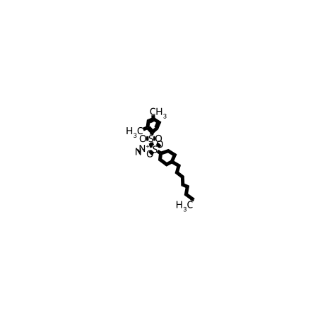 CCCCCCCCC1CCC(S(=O)(=O)C(=[N+]=[N-])S(=O)(=O)c2ccc(C)cc2C)CC1